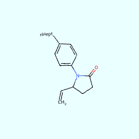 C=CC1CCC(=O)N1c1ccc(CCCCCCC)cc1